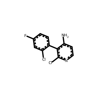 Nc1ccnc(Cl)c1-c1ccc(F)cc1Cl